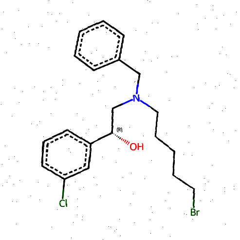 O[C@@H](CN(CCCCCBr)Cc1ccccc1)c1cccc(Cl)c1